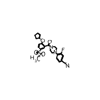 CS(=O)(=O)c1ccc(OC2CCCC2)c(C(=O)N2CCN(c3ccc(C#N)cc3F)CC2)c1